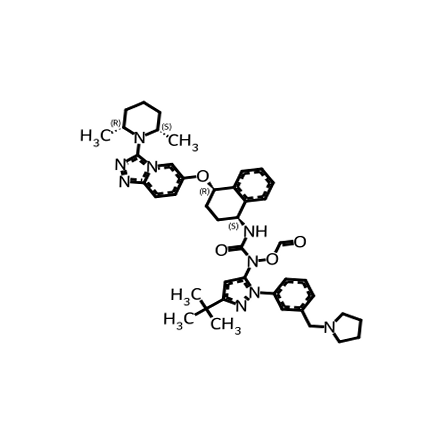 C[C@@H]1CCC[C@H](C)N1c1nnc2ccc(O[C@@H]3CC[C@H](NC(=O)N(OC=O)c4cc(C(C)(C)C)nn4-c4cccc(CN5CCCC5)c4)c4ccccc43)cn12